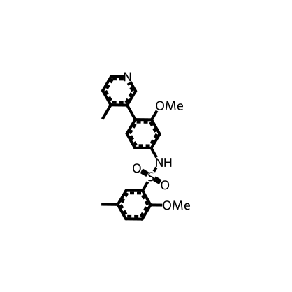 COc1cc(NS(=O)(=O)c2cc(C)ccc2OC)ccc1-c1cnccc1C